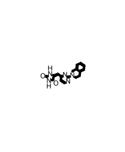 O=C1NC(=O)/C(=C\c2ccnc(N3CCc4ccccc4C3)n2)N1